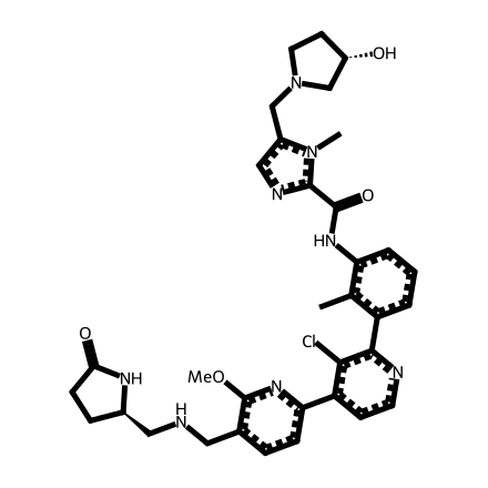 COc1nc(-c2ccnc(-c3cccc(NC(=O)c4ncc(CN5CC[C@H](O)C5)n4C)c3C)c2Cl)ccc1CNC[C@H]1CCC(=O)N1